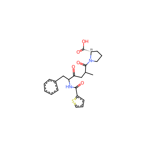 CC(CC(=O)C(Cc1ccccc1)NC(=O)c1cccs1)C(=O)N1CCC[C@H]1C(=O)O